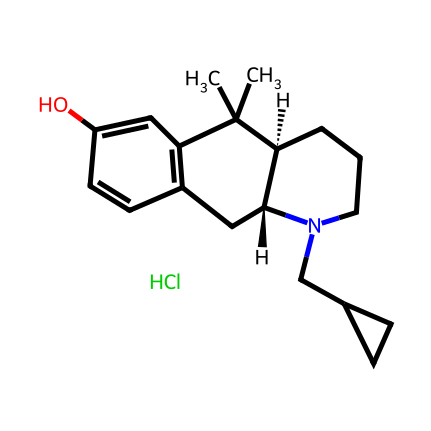 CC1(C)c2cc(O)ccc2C[C@@H]2[C@@H]1CCCN2CC1CC1.Cl